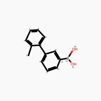 Cc1ccccc1-c1cccc(B(O)O)c1